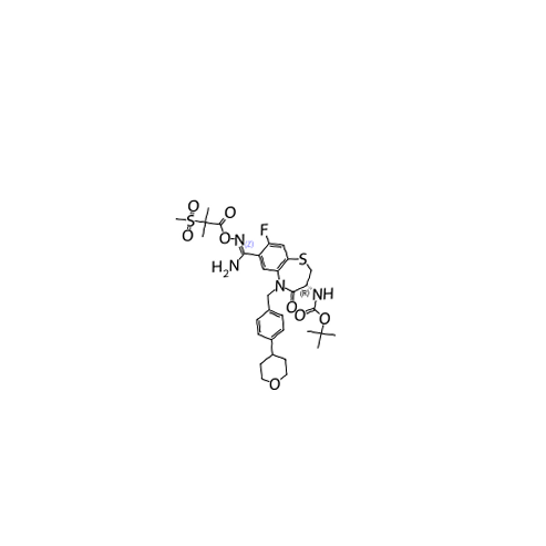 CC(C)(C)OC(=O)N[C@H]1CSc2cc(F)c(/C(N)=N/OC(=O)C(C)(C)S(C)(=O)=O)cc2N(Cc2ccc(C3CCOCC3)cc2)C1=O